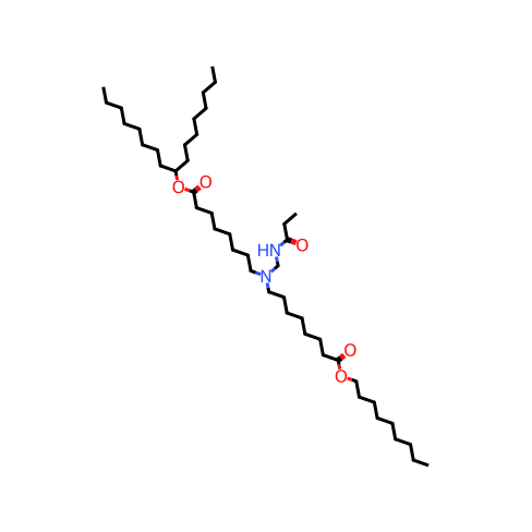 CCCCCCCCCOC(=O)CCCCCCCN(CCCCCCCC(=O)OC(CCCCCCCC)CCCCCCCC)CNC(=O)CC